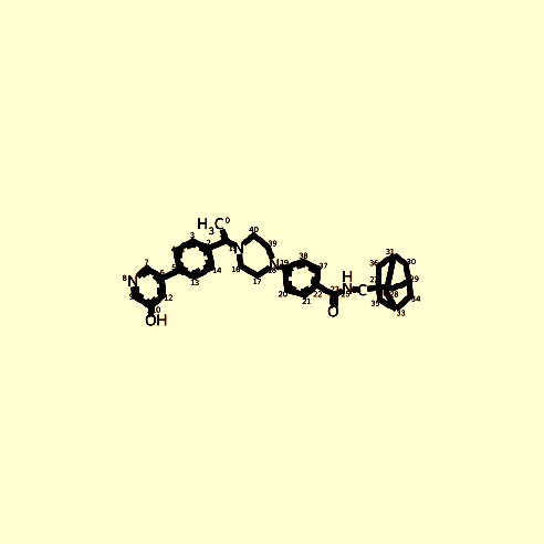 CC(c1ccc(-c2cncc(O)c2)cc1)N1CCN(c2ccc(C(=O)NCC34CC5CC(CC(C5)C3)C4)cc2)CC1